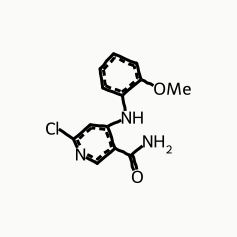 COc1ccccc1Nc1cc(Cl)ncc1C(N)=O